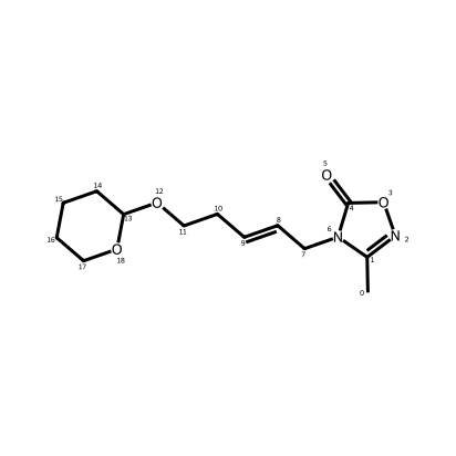 Cc1noc(=O)n1CC=CCCOC1CCCCO1